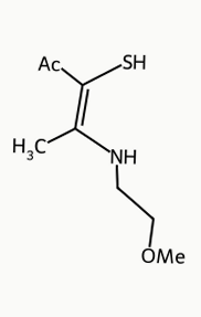 COCCN/C(C)=C(\S)C(C)=O